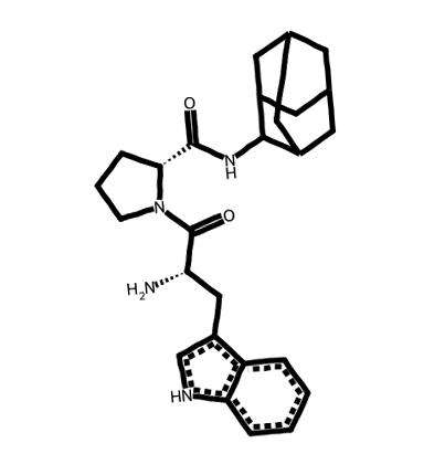 N[C@@H](Cc1c[nH]c2ccccc12)C(=O)N1CCC[C@@H]1C(=O)NC1C2CC3CC(C2)CC1C3